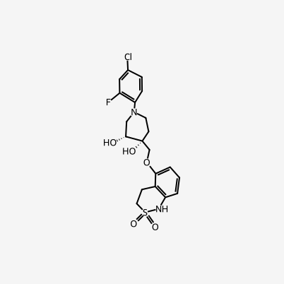 O=S1(=O)CCc2c(cccc2OC[C@]2(O)CCN(c3ccc(Cl)cc3F)C[C@H]2O)N1